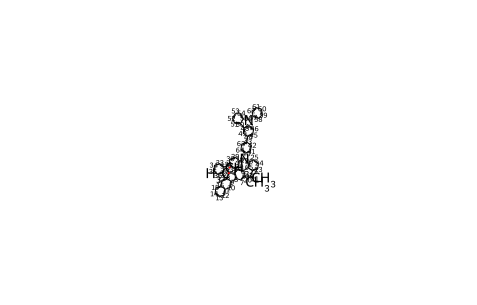 CC1(C)c2cc3c(cc2-c2cc4ccccc4cc21)C(C)(C)c1cccc(N(c2ccc(-c4ccccc4)cc2)c2ccc(-c4ccc5c(c4)c4ccccc4n5-c4ccccc4)cc2)c1-3